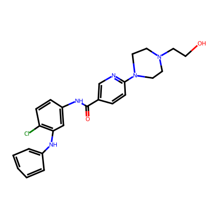 O=C(Nc1ccc(Cl)c(Nc2ccccc2)c1)c1ccc(N2CCN(CCO)CC2)nc1